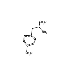 NC(Cc1ccc(S(=O)(=O)O)cc1)C(=O)O